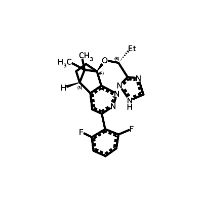 CC[C@@H](O[C@@]12CC[C@@H](c3cc(-c4c(F)cccc4F)nnc31)C2(C)C)c1nc[nH]n1